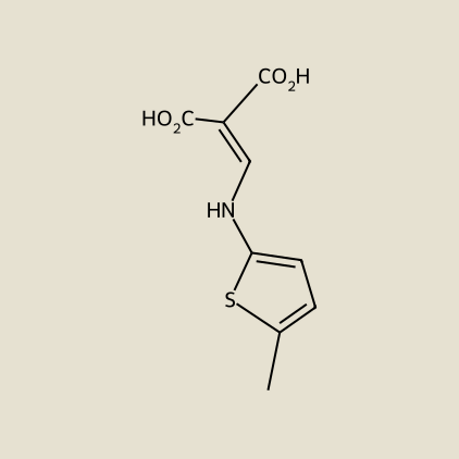 Cc1ccc(NC=C(C(=O)O)C(=O)O)s1